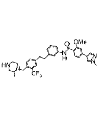 COc1cc(-c2cnn(C)c2)ccc1C(=O)Nc1cccc(CCc2ccc(CN3CCNCC3C)c(C(F)(F)F)c2)c1